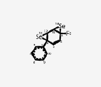 FC12C=CC3(c4ccccc4)[Se]C3C1[Se]2